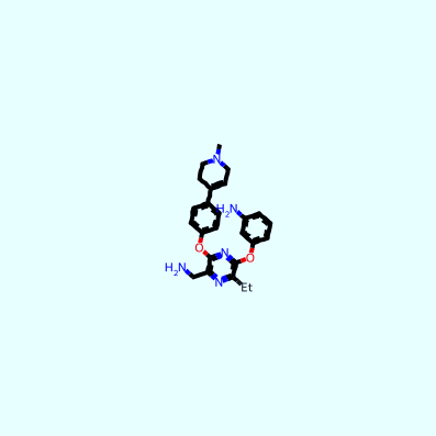 CCc1nc(CN)c(Oc2ccc(C3=CCN(C)CC3)cc2)nc1Oc1cccc(N)c1